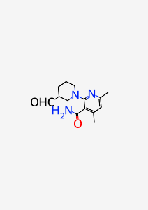 Cc1cc(C)c(C(N)=O)c(N2CCCC(C=O)C2)n1